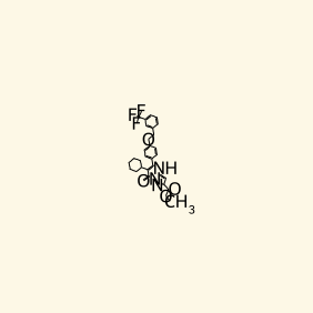 COC(=O)c1cc2[nH]c(-c3ccc(OCc4cccc(C(F)(F)F)c4)cc3)c(C3CCCCC3)c(=O)n2n1